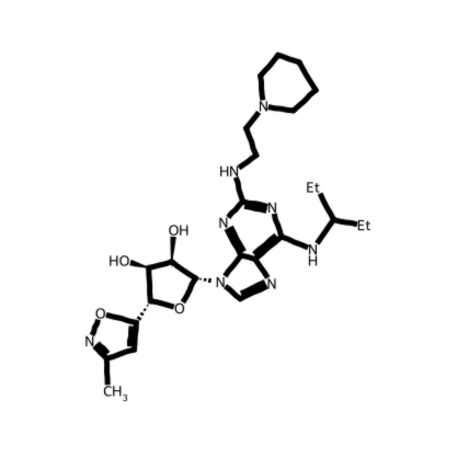 CCC(CC)Nc1nc(NCCN2CCCCC2)nc2c1ncn2[C@@H]1O[C@H](c2cc(C)no2)[C@@H](O)[C@H]1O